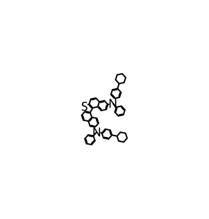 c1ccc(N(c2ccc(C3CCCCC3)cc2)c2ccc3c(ccc4sc5ccc6cc(N(c7ccccc7)c7ccc(C8CCCCC8)cc7)ccc6c5c43)c2)cc1